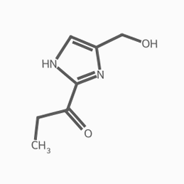 CCC(=O)c1nc(CO)c[nH]1